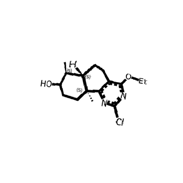 CCOc1nc(Cl)nc2c1CC[C@H]1[C@H](C)C(O)CC[C@]21C